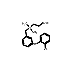 CCCCCCCCCCCC[N+](C)(C)Cc1ccccc1.O=C([O-])c1ccccc1O